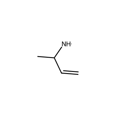 C=CC(C)[NH]